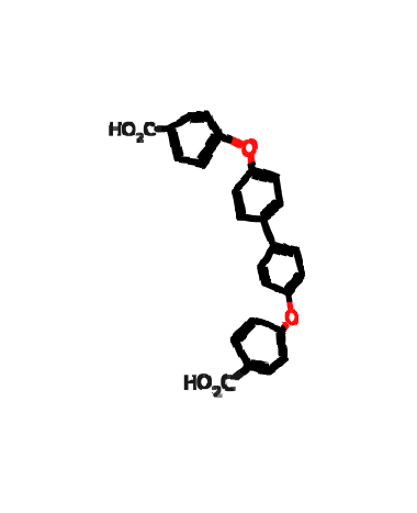 O=C(O)c1ccc(Oc2ccc(-c3ccc(Oc4ccc(C(=O)O)cc4)cc3)cc2)cc1